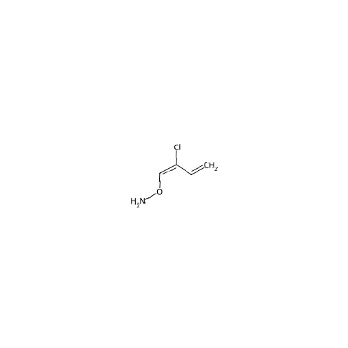 C=C/C(Cl)=C\ON